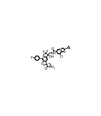 NC(=O)[C@@]1(CF)COc2c1cc([C@@](O)(CNC(=O)c1cc(Cl)c3nc(C4CC4)cn3c1)C(F)(F)F)nc2-c1ccc(F)cc1